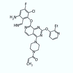 C=CC(=O)N1CCN(c2nc(Oc3cccnc3CC)nc3c(Oc4c(Cl)c(F)cc(N)c4C=N)nccc23)CC1